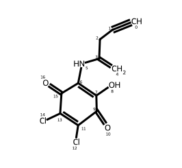 C#CCC(=C)NC1=C(O)C(=O)C(Cl)=C(Cl)C1=O